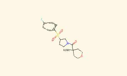 CC(=O)NC1(C(=O)N2CCC(S(=O)(=O)c3ccc(F)cc3)C2)CCOCC1